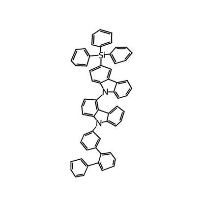 c1ccc(-c2ccccc2-c2cccc(-n3c4ccccc4c4c(-n5c6ccccc6c6cc([Si](c7ccccc7)(c7ccccc7)c7ccccc7)ccc65)cccc43)c2)cc1